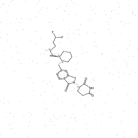 C[C@H](CCC(F)F)N[C@H]1CCCC[C@@H]1Cc1ccc2c(c1)CN([C@H]1CCC(=O)NC1=O)C2=O